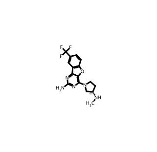 CN[C@@H]1CCN(c2nc(N)nc3c2oc2ccc(C(F)(F)F)cc23)C1